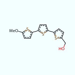 COc1ccc(-c2ccc(-c3ccc(CO)s3)s2)s1